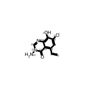 C=Cc1cc(Cl)c(O)c2ncn(N)c(=O)c12